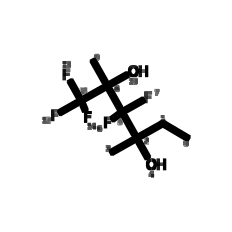 CCC(C)(O)C(F)(F)C(C)(O)C(F)(F)F